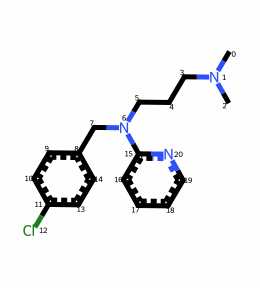 CN(C)CCCN(Cc1ccc(Cl)cc1)c1ccccn1